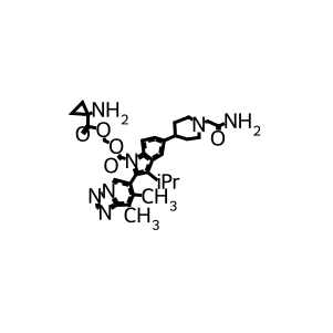 Cc1c(-c2c(C(C)C)c3cc(C4CCN(CC(N)=O)CC4)ccc3n2C(=O)OCOC(=O)C2(N)CC2)cn2ncnc2c1C